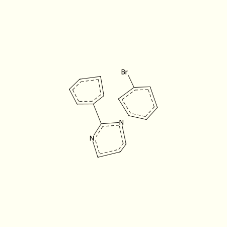 Brc1ccccc1.c1ccc(-c2ncccn2)cc1